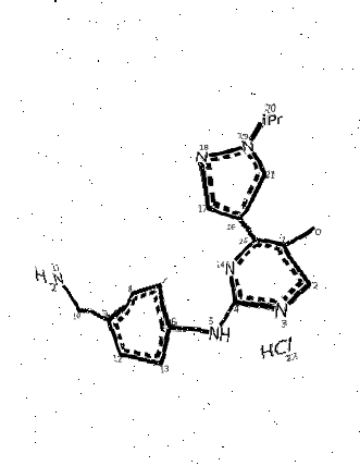 Cc1cnc(Nc2ccc(CN)cc2)nc1-c1cnn(C(C)C)c1.Cl